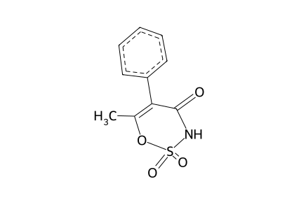 CC1=C(c2ccccc2)C(=O)NS(=O)(=O)O1